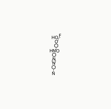 N#Cc1ccc(N2CCN(c3ccc(NC(=O)c4ccc(OCC(O)CF)cc4)cc3)CC2)cc1